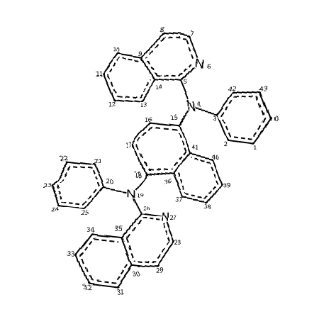 c1ccc(N(c2nccc3ccccc23)c2ccc(N(c3ccccc3)c3nccc4ccccc34)c3ccccc23)cc1